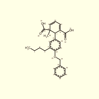 CCCCc1cc(C2C(C(=O)O)=CC=CC2(C)C(=O)O)ccc1OCc1ccccc1